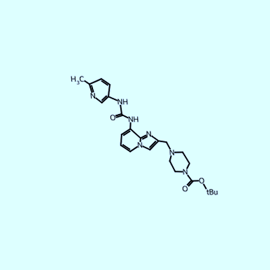 Cc1ccc(NC(=O)Nc2cccn3cc(CN4CCN(C(=O)OC(C)(C)C)CC4)nc23)cn1